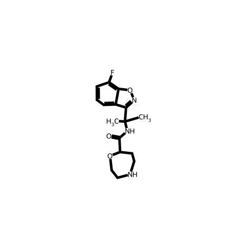 CC(C)(NC(=O)C1CCNCCO1)c1noc2c(F)cccc12